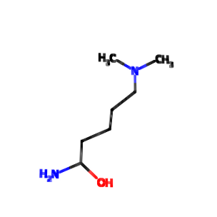 CN(C)CCCCC(N)O